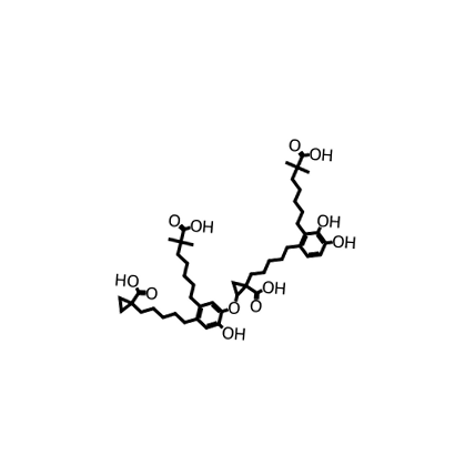 CC(C)(CCCCCc1cc(OC2CC2(CCCCCc2ccc(O)c(O)c2CCCCCC(C)(C)C(=O)O)C(=O)O)c(O)cc1CCCCCC1(C(=O)O)CC1)C(=O)O